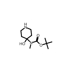 CN(C(=O)OC(C)(C)C)C1(O)CCNCC1